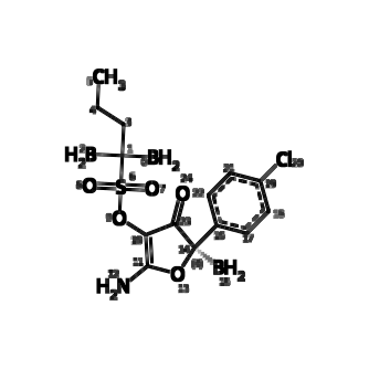 BC(B)(CCC)S(=O)(=O)OC1=C(N)O[C@](B)(c2ccc(Cl)cc2)C1=O